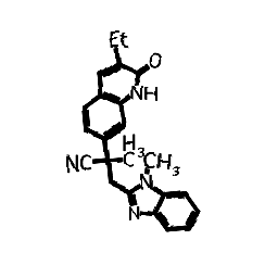 CCc1cc2ccc(C(C)(C#N)Cc3nc4ccccc4n3C)cc2[nH]c1=O